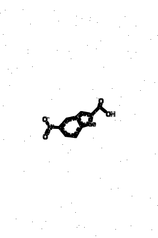 O=C(O)c1cc2cc([N+](=O)[O-])ccc2[se]1